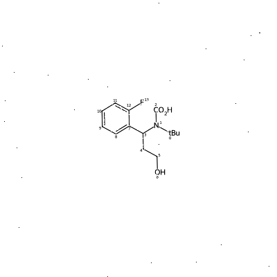 CC(C)(C)N(C(=O)O)C(CCO)c1ccccc1F